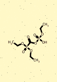 CCOP(=O)(O)OC(=O)P(=O)(OCC)OCC